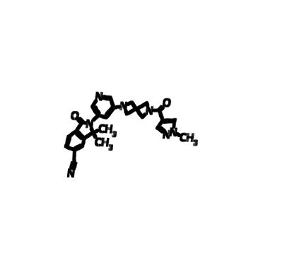 Cn1cc(C(=O)N2CC3(C2)CN(c2cncc(N4C(=O)c5ccc(C#N)cc5C4(C)C)c2)C3)cn1